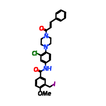 COc1ccc(C(=O)Nc2ccc(N3CCN(C(=O)/C=C/c4ccccc4)CC3)c(Cl)c2)cc1CI